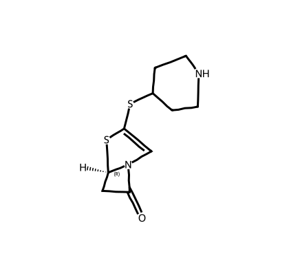 O=C1C[C@H]2SC(SC3CCNCC3)=CN12